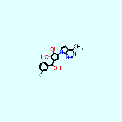 Cc1ncnc2c1ccn2C1CC(C(O)c2cccc(Cl)c2)[C@@H](O)[C@H]1O